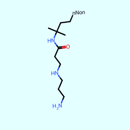 CCCCCCCCCCCC(C)(C)NC(=O)CCNCCCN